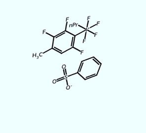 CCC[I+](F)(F)(F)(F)c1c(F)cc(C)c(F)c1F.O=S(=O)([O-])c1ccccc1